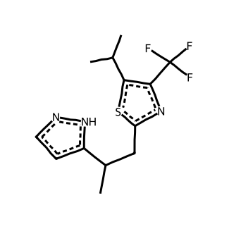 CC(C)c1sc(CC(C)c2ccn[nH]2)nc1C(F)(F)F